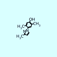 Cc1ccn(-c2cc(C)c(O)cc2C)n1